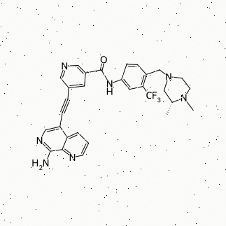 C[C@@H]1CN(Cc2ccc(NC(=O)c3cncc(C#Cc4cnc(N)c5ncccc45)c3)cc2C(F)(F)F)CCN1C